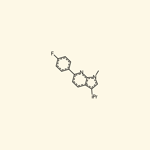 CC(C)c1cn(C)c2nc(-c3ccc(F)cc3)ccc12